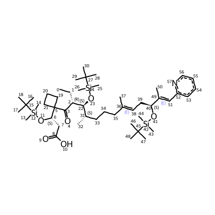 CC[C@@H](C(=O)C1([C@H](CC(=O)O)O[Si](C)(C)C(C)(C)C)CCC1)[C@@H](O[Si](C)(C)C(C)(C)C)[C@@H](C)CCC/C(C)=C/C[C@H](O[Si](C)(C)C(C)(C)C)/C(C)=C/c1ccccn1